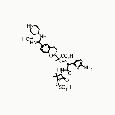 CC1(C)[C@H](NC(=O)/C(=N\O[C@](C)(C(=O)O)[C@H]2CCc3cc(C(=N)N[C@H]4CCNC[C@H]4CO)ccc3O2)c2csc(N)n2)C(=O)N1OS(=O)(=O)O